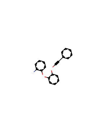 Nc1ccccc1Oc1ccccc1OC#Cc1ccccc1